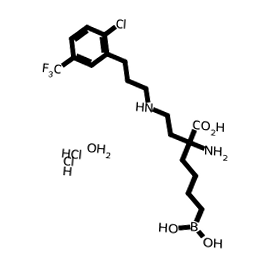 Cl.Cl.NC(CCCCB(O)O)(CCNCCCc1cc(C(F)(F)F)ccc1Cl)C(=O)O.O